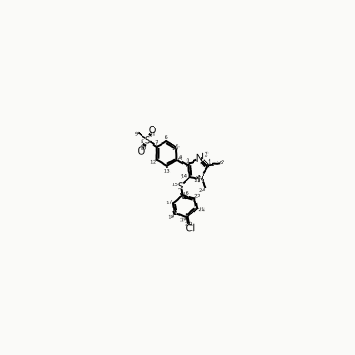 Cc1nc(-c2ccc(S(C)(=O)=O)cc2)c(Sc2ccc(Cl)cc2)n1C